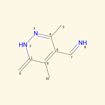 C=C1NN=C(C)C(C=N)=C1C